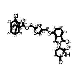 O=C1CCC(N2Cc3c(SCc4csc(COC(=O)C56CC7CC(CC(Cl)(C7)C5)C6)n4)cccc3C2=O)C(=O)N1